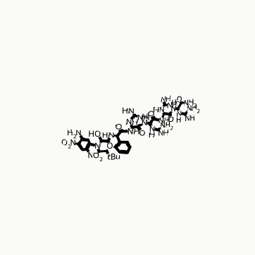 CC(C)(C)CCN(c1cc(N)c([N+](=O)[O-])cc1[N+](=O)[O-])C(O)C(=O)NC(C(=O)NC(NC(=N)N)C(=O)NC(NC(=N)N)C(=O)NC(NC(=N)N)C(=O)NC(NC(=N)N)C(N)=O)c1ccccc1